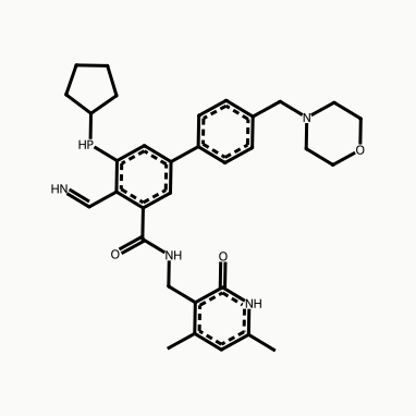 Cc1cc(C)c(CNC(=O)c2cc(-c3ccc(CN4CCOCC4)cc3)cc(PC3CCCC3)c2C=N)c(=O)[nH]1